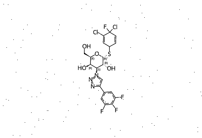 OC[C@H]1O[C@H](SC2C=CC(F)(Cl)C(Cl)=C2)[C@H](O)[C@@H](n2cc(-c3cc(F)c(F)c(F)c3)nn2)[C@H]1O